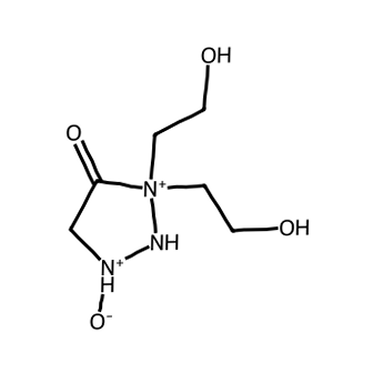 O=C1C[NH+]([O-])N[N+]1(CCO)CCO